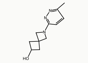 Cc1ccc(N2CC3(CC(O)C3)C2)nn1